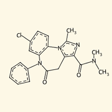 Cc1nc(C(=O)N(C)C)c2n1-c1ccc(Cl)cc1N(c1ccccc1)C(=O)C2